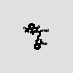 CCCCCCCC(CCCCc1ccccc1C([NH])=O)NC(=O)c1cccc(C(C)(C)CC)c1C(C)(C)CC